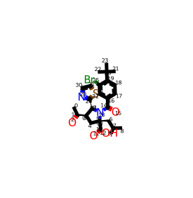 CC(=O)[C@@H]1C[C@@](CC(C)C)(C(=O)O)N(C(=O)c2ccc(C(C)(C)C)c(Br)c2)[C@H]1c1nccs1